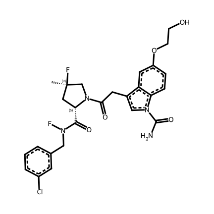 C[C@@]1(F)C[C@@H](C(=O)N(F)Cc2cccc(Cl)c2)N(C(=O)Cc2cn(C(N)=O)c3ccc(OCCO)cc23)C1